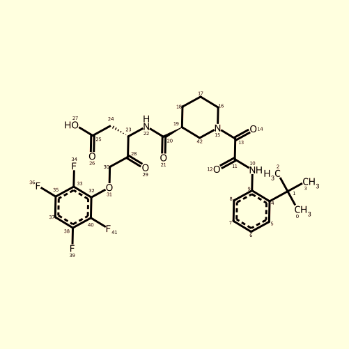 CC(C)(C)c1ccccc1NC(=O)C(=O)N1CCC[C@H](C(=O)N[C@@H](CC(=O)O)C(=O)COc2c(F)c(F)cc(F)c2F)C1